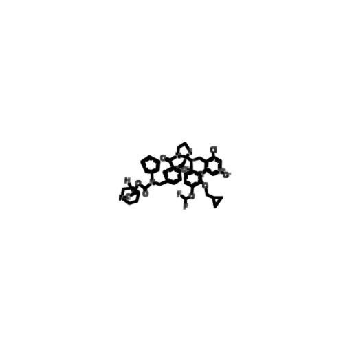 O=C(O[C@H]1CN2CCC1CC2)N(Cc1cccc(C(=O)N2CCS[C@]2(C(=O)O)[C@@H](Cc2c(Cl)c[n+]([O-])cc2Cl)c2ccc(OC(F)F)c(OCC3CC3)c2)c1)c1ccccc1